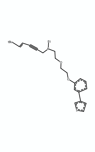 CCN(CC#C/C=C/C(C)(C)C)CCOCCOc1cccc(-c2ccsc2)c1